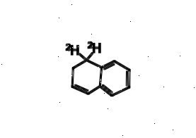 [2H]C1([2H])CC=Cc2ccccc21